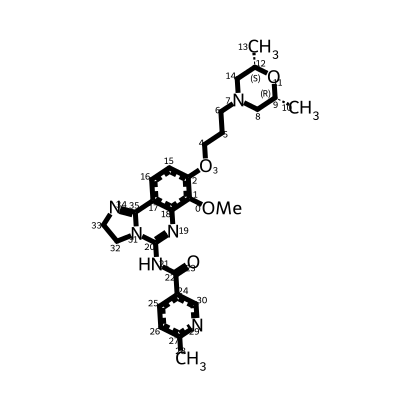 COc1c(OCCCN2C[C@@H](C)O[C@@H](C)C2)ccc2c1N=C(NC(=O)c1ccc(C)nc1)N1CCN=C21